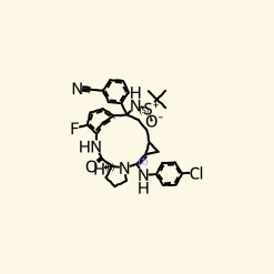 CC(C)(C)[S@@+]([O-])NC1(c2cccc(C#N)c2)CCC2C/C2=C(\Nc2ccc(Cl)cc2)N2CCC[C@@H]2C(=O)Nc2cc1ccc2F